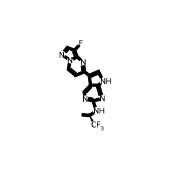 C[C@@H](Nc1ncc2c(-c3ccn4ncc(F)c4n3)c[nH]c2n1)C(F)(F)F